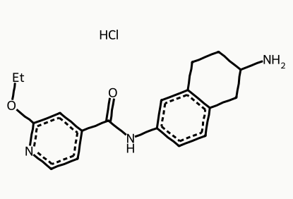 CCOc1cc(C(=O)Nc2ccc3c(c2)CCC(N)C3)ccn1.Cl